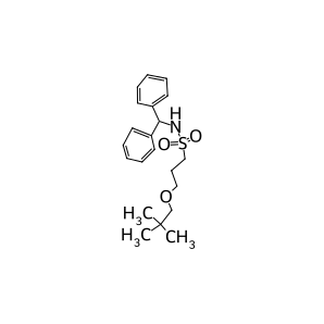 CC(C)(C)COCCCS(=O)(=O)NC(c1ccccc1)c1ccccc1